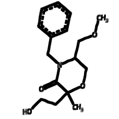 COCC1COC(C)(CCO)C(=O)N1Cc1ccccc1